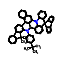 CC(C)(C)c1ccc(N2B3c4cccc5c4N(c4ccccc4C54c5ccccc5-c5ccccc54)c4cc5ccccc5c(c43)-c3ccc4c(c32)C(C)(C)c2ccccc2-4)cc1